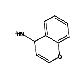 [NH]C1C=COc2ccccc21